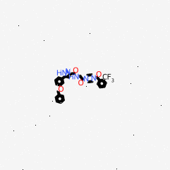 O=C(NCC(=O)N1CCN(C(=O)c2ccccc2C(F)(F)F)CC1)c1cc(-c2cccc(OCc3ccccc3)c2)[nH]n1